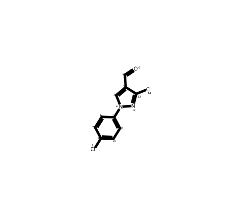 O=Cc1cn(-c2ccc(Cl)cc2)nc1Cl